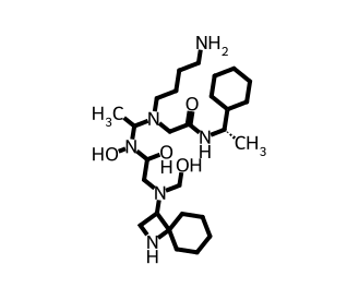 CC(N(CCCCN)CC(=O)N[C@@H](C)C1CCCCC1)N(O)C(O)CN(CO)C1CNC12CCCCC2